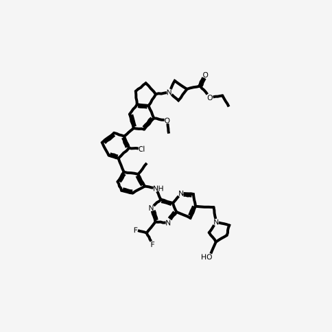 CCOC(=O)C1CN(C2CCc3cc(-c4cccc(-c5cccc(Nc6nc(C(F)F)nc7cc(CN8CCC(O)C8)cnc67)c5C)c4Cl)cc(OC)c32)C1